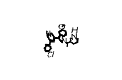 COc1ccc2c(c1)c(-c1cncc(-c3cccc(Cl)c3)c1)cn2C(C)C1CCCNC1